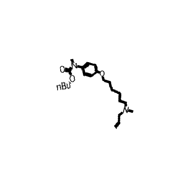 C=CCN(C)CCCCCCOc1ccc(N(C)C(=O)OCCCC)cc1